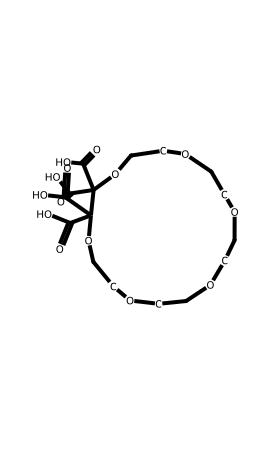 O=C(O)C1(C(=O)O)OCCOCCOCCOCCOCCOC1(C(=O)O)C(=O)O